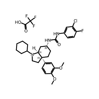 COc1ccc([C@@]23CC[C@@H](NC(=O)Nc4ccc(F)c(Cl)c4)C[C@@H]2N(C2CCCCC2)CC3)cc1OC.O=C(O)C(F)(F)F